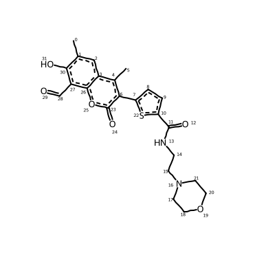 Cc1cc2c(C)c(-c3ccc(C(=O)NCCN4CCOCC4)s3)c(=O)oc2c(C=O)c1O